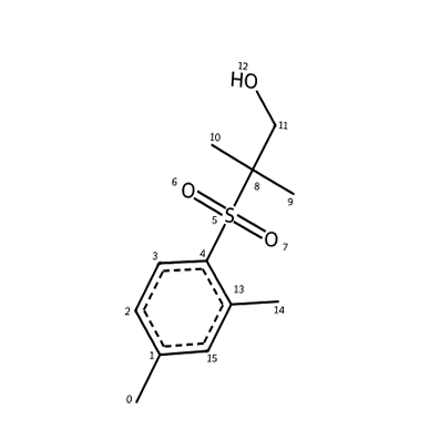 Cc1ccc(S(=O)(=O)C(C)(C)CO)c(C)c1